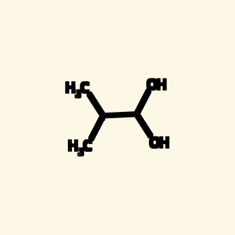 C[C](C)C(O)O